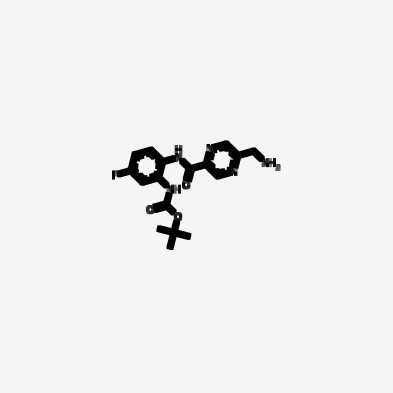 CC(C)(C)OC(=O)Nc1cc(F)ccc1NC(=O)c1cnc(CN)cn1